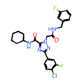 O=C(Cn1nc(-c2ccc(Cl)c(F)c2)nc1C(=O)NC1CCCCC1)NCc1cccc(F)c1